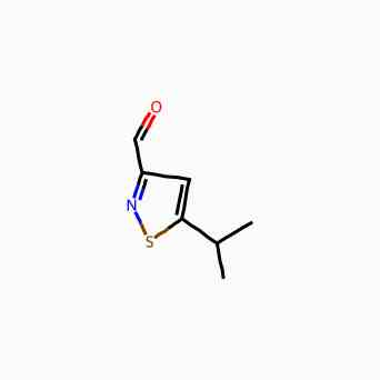 CC(C)c1cc(C=O)ns1